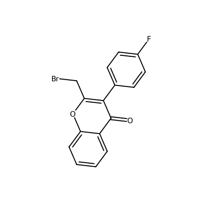 O=c1c(-c2ccc(F)cc2)c(CBr)oc2ccccc12